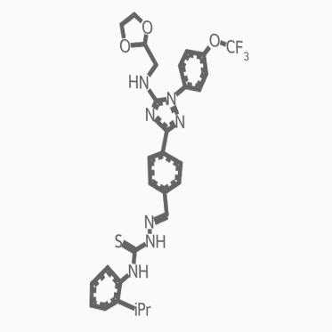 CC(C)c1ccccc1NC(=S)N/N=C/c1ccc(-c2nc(NCC3OCCO3)n(-c3ccc(OC(F)(F)F)cc3)n2)cc1